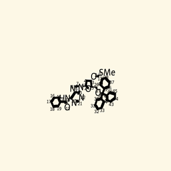 CSCO[C@H]1C[C@H](n2cnc3c(NC(=O)c4ccccc4)ncnc32)O[C@@H]1COC(c1ccccc1)(c1ccccc1)c1ccccc1